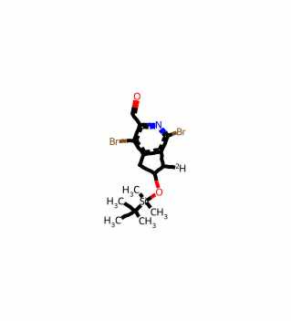 [2H]C1c2c(Br)nc(C=O)c(Br)c2CC1O[Si](C)(C)C(C)(C)C